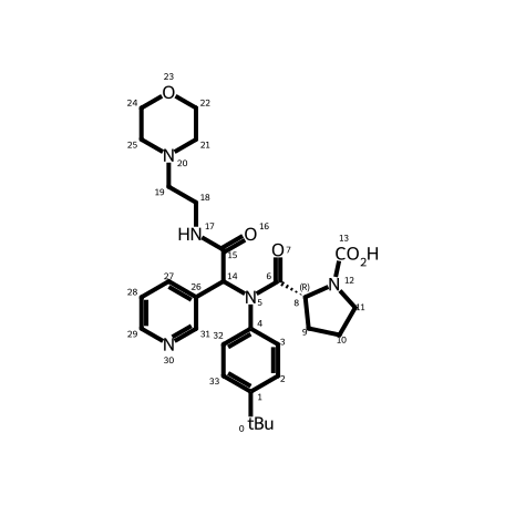 CC(C)(C)c1ccc(N(C(=O)[C@H]2CCCN2C(=O)O)C(C(=O)NCCN2CCOCC2)c2cccnc2)cc1